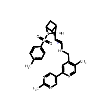 Cc1ccc(S(=O)(=O)N2C3CC(C3)[C@H]2/C=C/NCc2cc(-c3cnc(C(F)(F)F)nc3)ncc2C)cc1